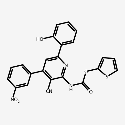 N#Cc1c(-c2cccc([N+](=O)[O-])c2)cc(-c2ccccc2O)nc1NC(=O)Oc1cccs1